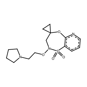 O=S1(=O)c2cccnc2OC2(CC2)CN1OCCN1CCCC1